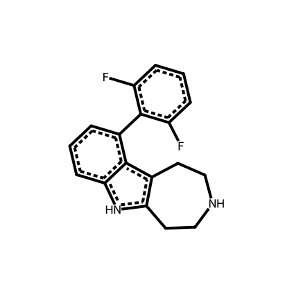 Fc1cccc(F)c1-c1cccc2[nH]c3c(c12)CCNCC3